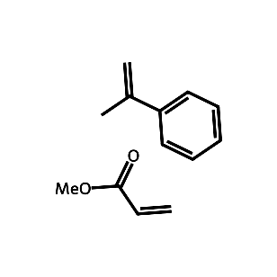 C=C(C)c1ccccc1.C=CC(=O)OC